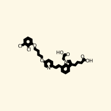 O=C(O)CCCc1cn(CC(=O)O)c2c(C=Cc3ccc(OCCCCOc4cccc(Cl)c4Cl)cn3)cccc12